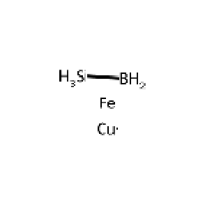 B[SiH3].[Cu].[Fe]